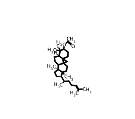 CC(=O)OC1CCC23CC24CCC2(C)[C@@H]([C@H](C)CCC=C(C)C)CC[C@@]2(C)C4CC[C@H]3C1(C)C